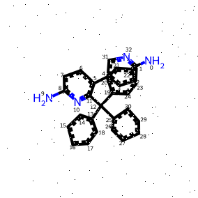 Nc1ccc(-c2ccc(N)nc2C(c2ccccc2)(c2ccccc2)c2ccccc2)cn1